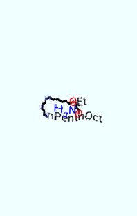 CCCCC/C=C\C/C=C\C/C=C\CCCCCOC(CC)C(N)COCCCCCCCC